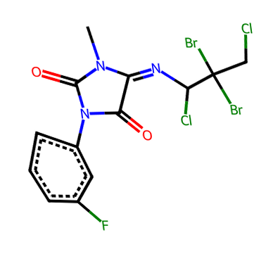 CN1C(=O)N(c2cccc(F)c2)C(=O)C1=NC(Cl)C(Br)(Br)CCl